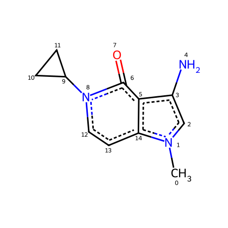 Cn1cc(N)c2c(=O)n(C3CC3)ccc21